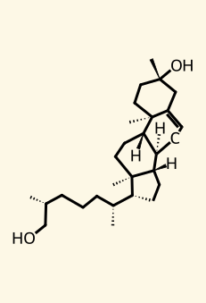 C[C@@H](CO)CCC[C@@H](C)[C@H]1CC[C@H]2[C@@H]3CC=C4C[C@@](C)(O)CC[C@]4(C)[C@H]3CC[C@]12C